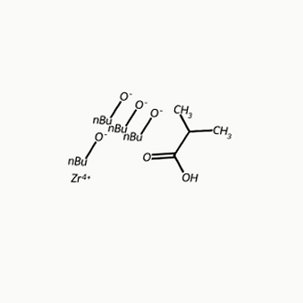 CC(C)C(=O)O.CCCC[O-].CCCC[O-].CCCC[O-].CCCC[O-].[Zr+4]